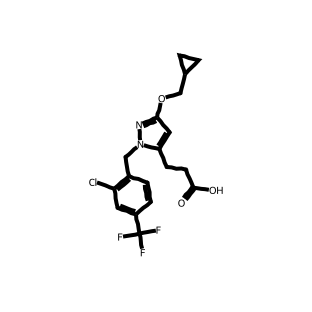 O=C(O)CCc1cc(OCC2CC2)nn1Cc1ccc(C(F)(F)F)cc1Cl